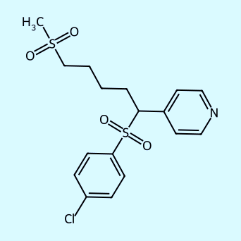 CS(=O)(=O)CCCCC(c1ccncc1)S(=O)(=O)c1ccc(Cl)cc1